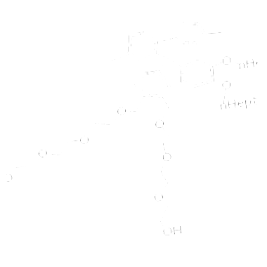 CCCCCCCOc1ccc(C2(c3ccc(COCCOCCOCCO)c(COCCOCCOCCO)c3)c3cc(C)ccc3-c3ccc(C)cc32)cc1OCCCCCCC